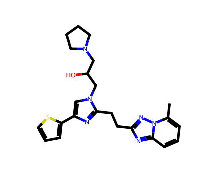 Cc1cccc2nc(CCc3nc(-c4cccs4)cn3CC(O)CN3CCCC3)nn12